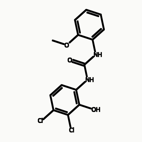 COc1ccccc1NC(=O)Nc1ccc(Cl)c(Cl)c1O